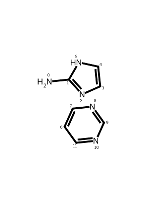 Nc1ncc[nH]1.c1cncnc1